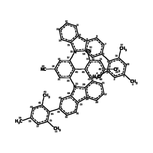 Cc1cc(C)c(-c2ccc3c4ccccc4n(-c4cc(C#N)cc(-n5c6ccccc6c6ccc(-c7c(C)cc(C)cc7C)cc65)c4-c4ccc(C(F)(F)F)cc4C#N)c3c2)c(C)c1